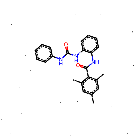 Cc1cc(C)c(C(=O)Nc2ccccc2NC(=O)Nc2ccccc2)c(C)c1